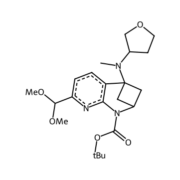 COC(OC)c1ccc2c(n1)N(C(=O)OC(C)(C)C)C1CC2(N(C)C2CCOC2)C1